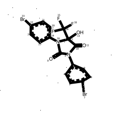 O=C1N(c2ccc(Br)cc2)C(=O)C(O)(C(F)(F)F)N1c1ccc(Br)cc1